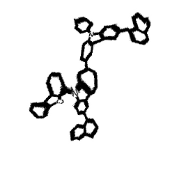 c1ccc(-n2c3ccc(-c4ccc5c6cc(-c7cccc8ccccc78)ccc6n(-c6cccc7c6oc6ccccc67)c5c4)cc3c3cc(-c4cccc5ccccc45)ccc32)cc1